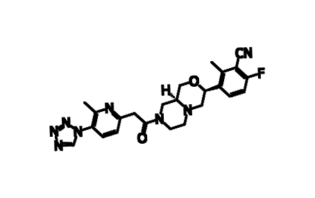 Cc1nc(CC(=O)N2CCN3C[C@H](c4ccc(F)c(C#N)c4C)OC[C@@H]3C2)ccc1-n1cnnn1